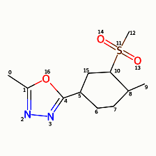 Cc1nnc(C2CCC(C)C(S(C)(=O)=O)C2)o1